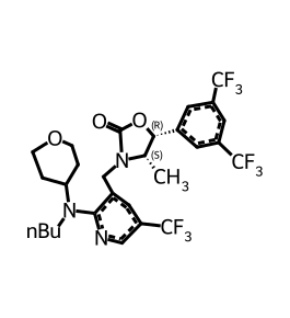 CCCCN(c1ncc(C(F)(F)F)cc1CN1C(=O)O[C@H](c2cc(C(F)(F)F)cc(C(F)(F)F)c2)[C@@H]1C)C1CCOCC1